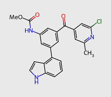 COC(=O)Nc1cc(C(=O)c2cc(C)nc(Cl)c2)cc(-c2cccc3[nH]ccc23)c1